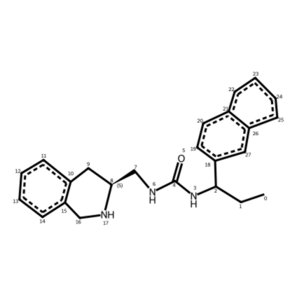 CCC(NC(=O)NC[C@@H]1Cc2ccccc2CN1)c1ccc2ccccc2c1